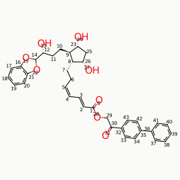 O=C(C=C/C=C\CC[C@@H]1[C@@H](CC[C@@H](O)C2Oc3ccccc3O2)[C@H](O)C[C@@H]1O)OCC(=O)c1ccc(-c2ccccc2)cc1